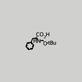 CC(C)(C)OCN[C@H](Cc1ccccc1)C(=O)O